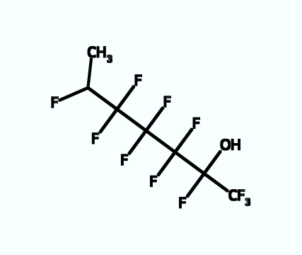 CC(F)C(F)(F)C(F)(F)C(F)(F)C(O)(F)C(F)(F)F